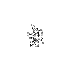 CCOC(=O)N=C(NC(CC(C)(C)C)ONC(=O)C1(C#N)CCCN(CC(C)C)C1)N1CCOCC1